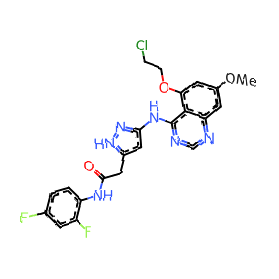 COc1cc(OCCCl)c2c(Nc3cc(CC(=O)Nc4ccc(F)cc4F)[nH]n3)ncnc2c1